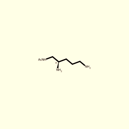 CC(=O)NC[C@H](N)CCCN